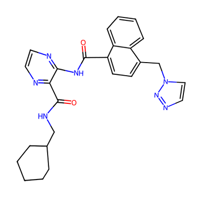 O=C(NCC1CCCCC1)c1nccnc1NC(=O)c1ccc(Cn2ccnn2)c2ccccc12